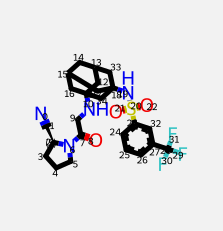 N#C[C@@H]1CCCN1C(=O)CNC12CC3CC(C1)CC(NS(=O)(=O)c1cccc(C(F)(F)F)c1)(C3)C2